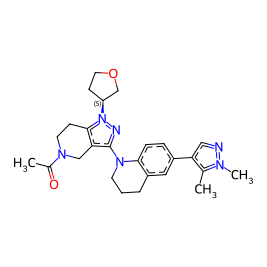 CC(=O)N1CCc2c(c(N3CCCc4cc(-c5cnn(C)c5C)ccc43)nn2[C@H]2CCOC2)C1